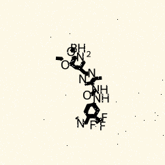 BOc1ncc(-c2ncc(NC(=O)Nc3ccc(CN(C)C)c(C(F)(F)F)c3)c(C)n2)cc1OCC